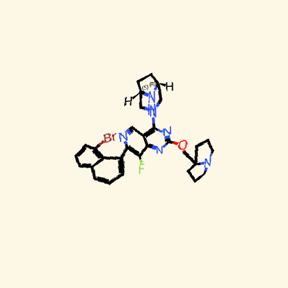 Fc1c(-c2cccc3cccc(Br)c23)ncc2c(N3C[C@H]4CC[C@@H](C3)N4)nc(OCC34CCCN3CCC4)nc12